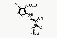 CCOC(=O)c1c(C(C)C)csc1N/C=C(\C#N)C(=O)OC(C)(C)C